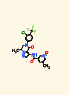 Cc1cc(C(=O)Nc2cnn3c2C(=O)N(c2ccc(C(F)(F)F)c(Cl)c2)CC3C)c[n+]([O-])c1